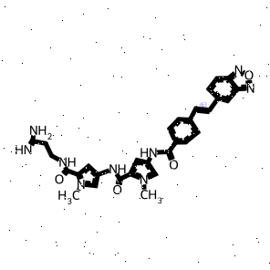 Cn1cc(NC(=O)c2cc(NC(=O)c3ccc(/C=C/c4ccc5nonc5c4)cc3)cn2C)cc1C(=O)NCCC(=N)N